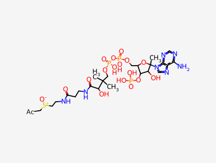 CC(=O)C[S+]([O-])CCNC(=O)CCNC(=O)C(O)C(C)(C)COP(=O)(O)OP(=O)(O)OCC1OC(C)(n2cnc3c(N)ncnc32)C(O)C1OP(=O)(O)O